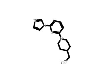 OCC1CCN(c2cccc(-n3ccnc3)n2)CC1